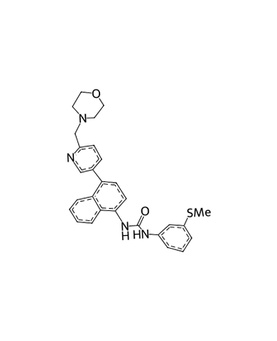 CSc1cccc(NC(=O)Nc2ccc(-c3ccc(CN4CCOCC4)nc3)c3ccccc23)c1